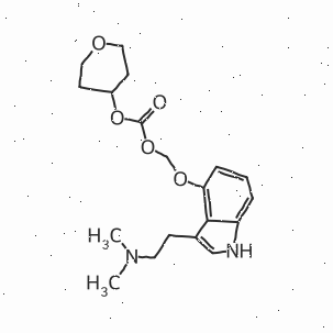 CN(C)CCc1c[nH]c2cccc(OCOC(=O)OC3CCOCC3)c12